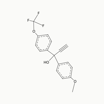 C#CC(O)(c1ccc(OC)cc1)c1ccc(OC(F)(F)F)cc1